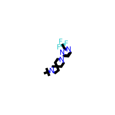 CC(C)(C)N1CCC2(CCN(c3ccnc(C(F)(F)F)n3)CC2)C1